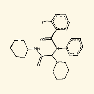 O=C(NC1CCCCC1)C(C1CCCCC1)N(C(=O)c1ccccc1I)c1ccccc1